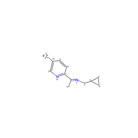 CC(NCC1CC1)c1ccc(C(F)(F)F)cn1